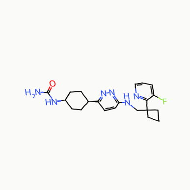 NC(=O)N[C@H]1CC[C@@H](c2ccc(NCC3(c4ncccc4F)CCC3)nn2)CC1